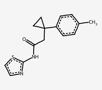 Cc1ccc(C2(CC(=O)Nc3nccs3)CC2)cc1